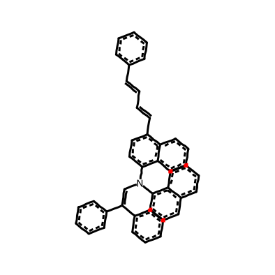 C(C=Cc1ccc(N(C=C(c2ccccc2)c2ccccc2)c2cccc3ccccc23)c2ccccc12)=Cc1ccccc1